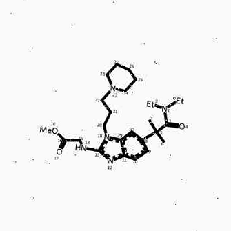 CCN(CC)C(=O)C(C)(C)c1ccc2nc(NCC(=O)OC)n(CCCN3CCCCC3)c2c1